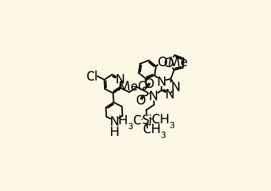 COc1cccc(OC)c1-n1c(-c2ccco2)nnc1N(CC[Si](C)(C)C)S(=O)(=O)CCc1ncc(Cl)cc1C1=CCNCC1